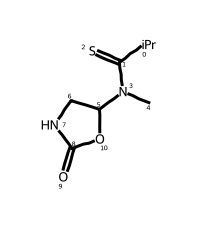 CC(C)C(=S)N(C)C1CNC(=O)O1